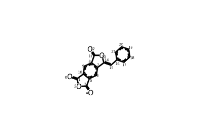 O=C1OC(=O)c2cc3c(cc21)C(=O)OC3=Cc1ccccc1